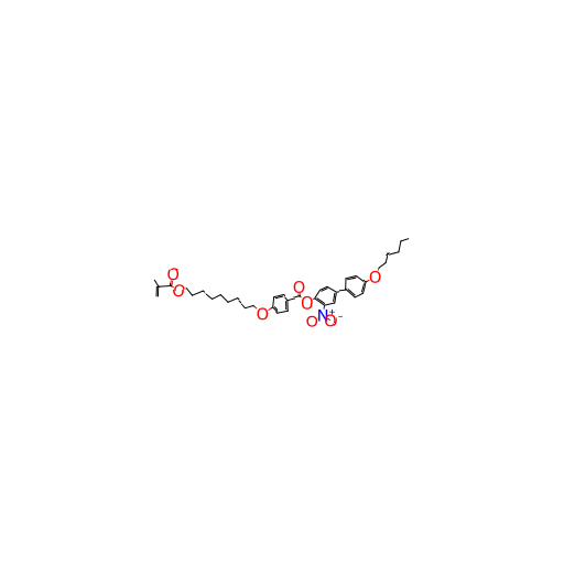 C=C(C)C(=O)OCCCCCCCCCOc1ccc(C(=O)Oc2ccc(-c3ccc(OCCCCCC)cc3)cc2[N+](=O)[O-])cc1